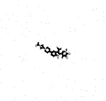 CC(=O)N1CC(N2CCC(c3ccc4[nH]c(-c5cn(C)c(=O)c(Cl)c5C)c(C(C)C)c4c3)CC2)C1